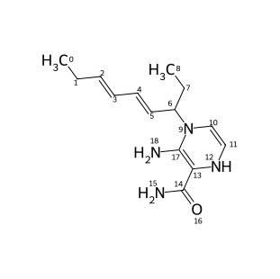 CC/C=C/C=C/C(CC)N1C=CNC(C(N)=O)=C1N